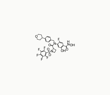 O=C(NO)c1cc(F)c(N(Cc2ccc(C3CCOCC3)cc2)C(=O)C2CCN2S(=O)(=O)c2c(F)c(F)c(F)c(F)c2F)cc1O